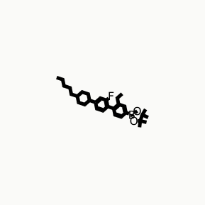 CCCCCC1CCC(c2ccc(-c3ccc(B4OC(C)(C)C(C)(C)O4)cc3CC)c(F)c2)CC1